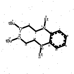 CCN(CCOC(C)(C)C)c1ccccc1N(CC)CCOC(C)(C)C